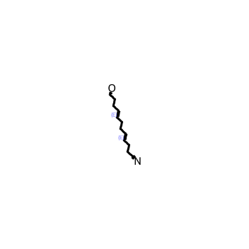 N#CCC/C=C/CC/C=C/CCC=O